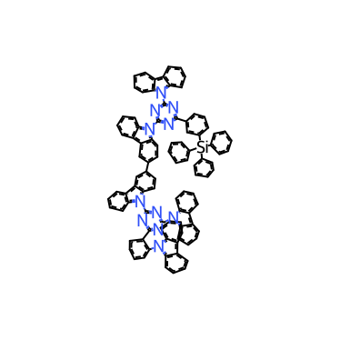 c1ccc([Si](c2ccccc2)(c2ccccc2)c2cccc(-c3nc(-n4c5ccccc5c5ccccc54)nc(-n4c5ccccc5c5cc(-c6ccc7c(c6)c6ccccc6n7-c6nc(-c7ccccc7-n7c8ccccc8c8ccccc87)nc(-n7c8ccccc8c8ccccc87)n6)ccc54)n3)c2)cc1